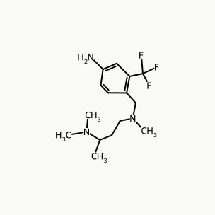 CC(CCN(C)Cc1ccc(N)cc1C(F)(F)F)N(C)C